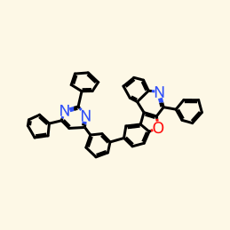 c1ccc(-c2cc(-c3cccc(-c4ccc5oc6c(-c7ccccc7)nc7ccccc7c6c5c4)c3)nc(-c3ccccc3)n2)cc1